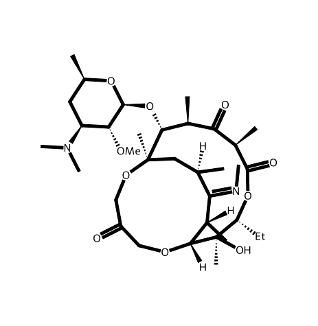 CC[C@H]1OC(=O)[C@H](C)C(=O)[C@H](C)[C@@H](O[C@@H]2O[C@H](C)C[C@H](N(C)C)[C@H]2OC)[C@@]2(C)C[C@@H](C)/C(=N\C)[C@H](C)[C@@H](OCC(=O)CO2)[C@]1(C)O